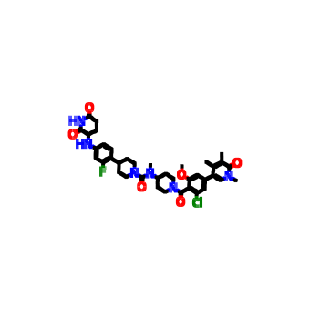 COc1cc(-c2cn(C)c(=O)c(C)c2C)cc(Cl)c1C(=O)N1CCC(N(C)C(=O)N2CCC(c3ccc(NC4CCC(=O)NC4=O)cc3F)CC2)CC1